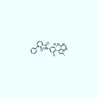 Cc1cc(-c2ccc(NC(=O)c3cccn(-c4ccccc4)c3=O)cc2F)c2c(N)ncnn12